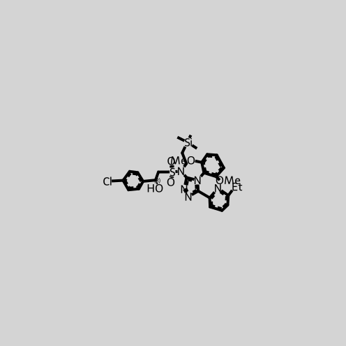 CCc1cccc(-c2nnc(N(CC[Si](C)(C)C)S(=O)(=O)C[C@H](O)c3ccc(Cl)cc3)n2-c2c(OC)cccc2OC)n1